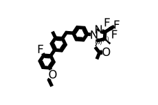 CCOc1ccc(F)c(-c2ccc(Cc3ccc(N4N=C(C(F)(F)F)[C@@H](C)[C@@H]4CC(C)=O)cc3)c(C)c2)c1